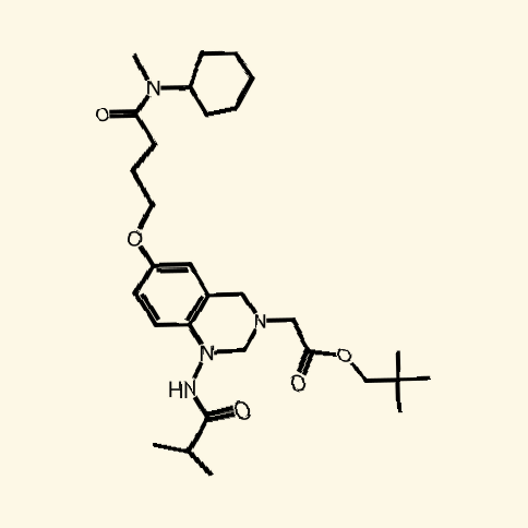 CC(C)C(=O)NN1CN(CC(=O)OCC(C)(C)C)Cc2cc(OCCCC(=O)N(C)C3CCCCC3)ccc21